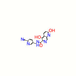 N#Cc1ccc(CNC(=O)c2ncc3nc(O)ccc3c2O)cn1